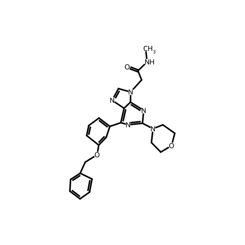 CNC(=O)Cn1cnc2c(-c3cccc(OCc4ccccc4)c3)nc(N3CCOCC3)nc21